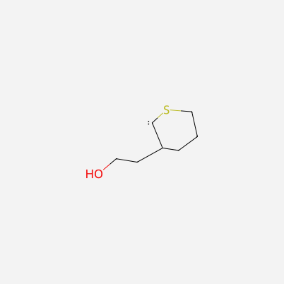 OCCC1[C]SCCC1